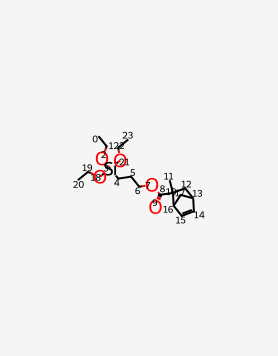 CCO[Si](CCCOC(=O)C1(C)CC2C=CC1C2)(OCC)OCC